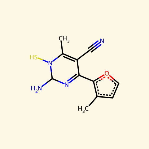 CC1=C(C#N)C(c2occc2C)=NC(N)N1S